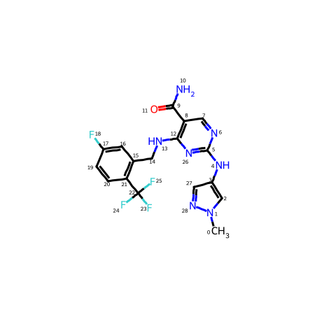 Cn1cc(Nc2ncc(C(N)=O)c(NCc3cc(F)ccc3C(F)(F)F)n2)cn1